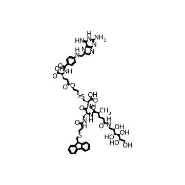 C[C@@H](CCC(=O)NC[C@H](O)[C@@H](O)[C@H](O)[C@H](O)CO)C(=O)N[C@@H](CNC(=O)CCSCC1c2ccccc2-c2ccccc21)C(=O)N[C@@H](CSSCCOC(=O)CC[C@H](NC(=O)c1ccc(NCc2cnc3nc(N)[nH]c(=N)c3n2)cc1)C(=O)O)C(=O)O